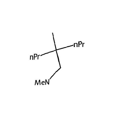 CCCC(C)(CCC)CNC